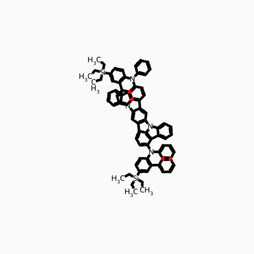 CC[Si](CC)(CC)c1ccc(N(c2ccccc2)c2ccc3c4cc5c(cc4n4c6ccccc6c2c34)c2ccc(N(c3ccccc3)c3ccc([Si](CC)(CC)CC)cc3-c3ccccc3)c3c4ccccc4n5c23)c(-c2ccccc2)c1